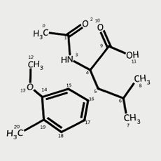 CC(=O)NC(CC(C)C)C(=O)O.COc1ccccc1C